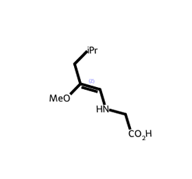 CO/C(=C\NCC(=O)O)CC(C)C